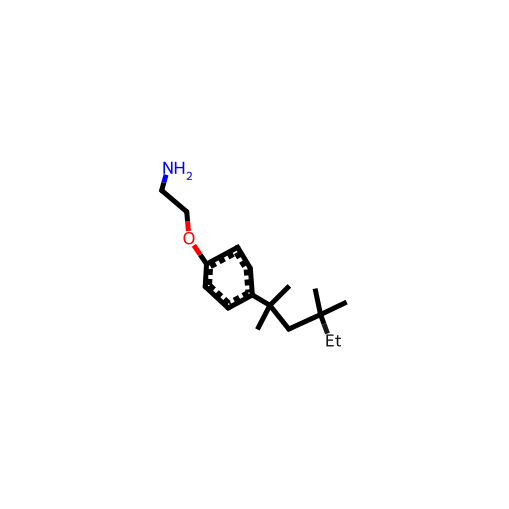 CCC(C)(C)CC(C)(C)c1ccc(OCCN)cc1